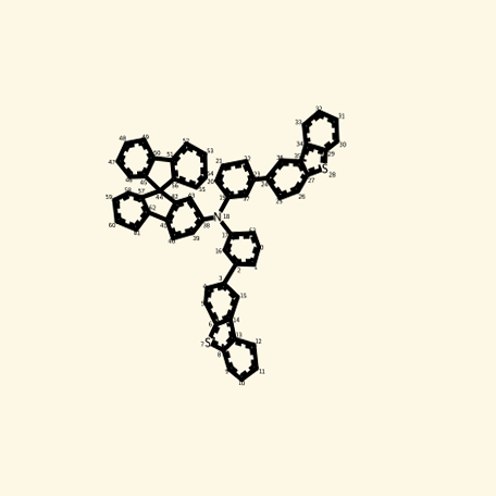 c1cc(-c2ccc3sc4ccccc4c3c2)cc(N(c2cccc(-c3ccc4sc5ccccc5c4c3)c2)c2ccc3c(c2)C2(c4ccccc4-c4ccccc42)c2ccccc2-3)c1